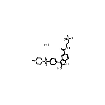 CN1CCN(S(=O)(=O)c2ccc(-c3c(O)[nH]c4ccc(C(=O)NCCS(C)(=O)=O)cc34)nc2)CC1.Cl